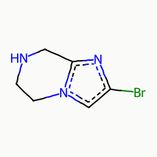 Brc1cn2c(n1)CNCC2